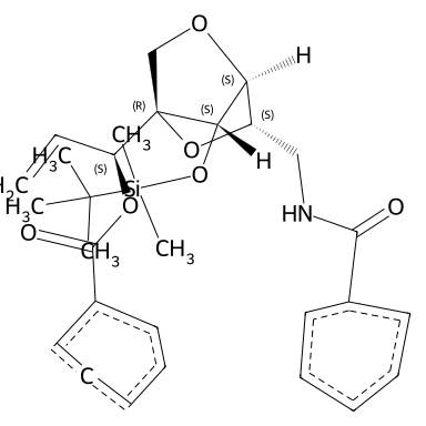 C=C[C@H](OC(=O)c1ccccc1)[C@@]12CO[C@@H]([C@H](CNC(=O)c3ccccc3)O1)[C@@H]2O[Si](C)(C)C(C)(C)C